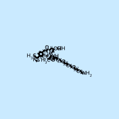 Cc1ncsc1-c1ccc(CNC(=O)[C@@H]2C[C@@H](O)CN2C[C@@H](NC(=O)COCCOCCOCCOCCOCCN)C(C)(C)C)cc1.Cl